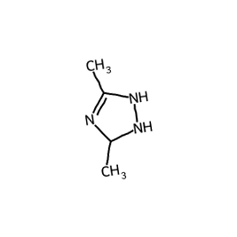 CC1=NC(C)NN1